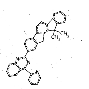 CC1(C)c2ccccc2-c2ccc3c(c21)Cc1cc(-c2nc(-c4ccccn4)c4ccccc4n2)ccc1-3